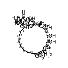 CC1OC(O[C@H]2/C=C/C=C/C=C/C=C/C=C/C=C/C=C/[C@H](C)[C@@H](O)[C@@H](C)[C@H](C)OC(=O)C[C@H](O)C[C@H](O)CCC(O)[C@H](O)C[C@H](O)C[C@]3(O)C[C@H](O)[C@@H](C(=O)O)[C@H](C2)O3)C(O)C(N)C1O